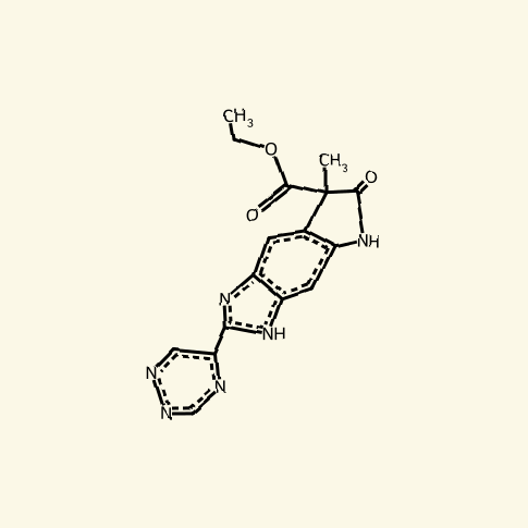 CCOC(=O)C1(C)C(=O)Nc2cc3[nH]c(-c4cnncn4)nc3cc21